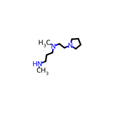 CNCCCN(C)CCN1CCCC1